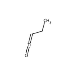 CC[CH]=[Ti]=[O]